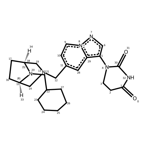 O=C1CCN(c2cnn3ccc(CN4C[C@H]5CC[C@@H](C4)N5CC4CCCCC4)cc23)C(=O)N1